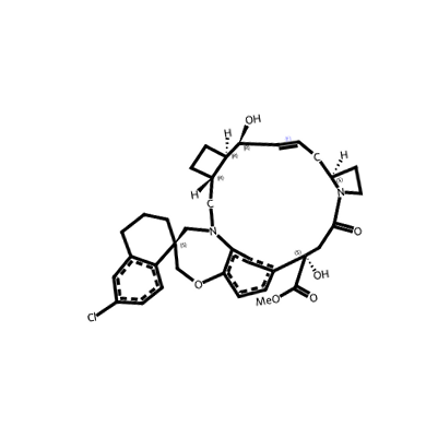 COC(=O)[C@]1(O)CC(=O)N2CC[C@@H]2C/C=C/[C@H](O)[C@@H]2CC[C@H]2CN2C[C@@]3(CCCc4cc(Cl)ccc43)COc3ccc1cc32